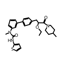 CCOC(Cc1ccc(-c2cccc(N(C)C(=O)Nc3cccs3)c2)cc1)C(=O)N1CCC(C)CC1